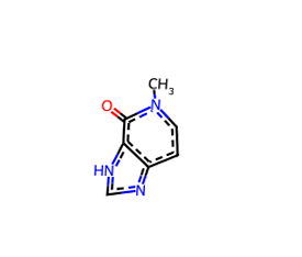 Cn1ccc2nc[nH]c2c1=O